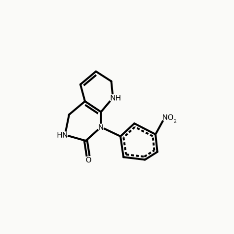 O=C1NCC2=C(NCC=C2)N1c1cccc([N+](=O)[O-])c1